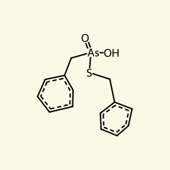 O=[As](O)(Cc1ccccc1)SCc1ccccc1